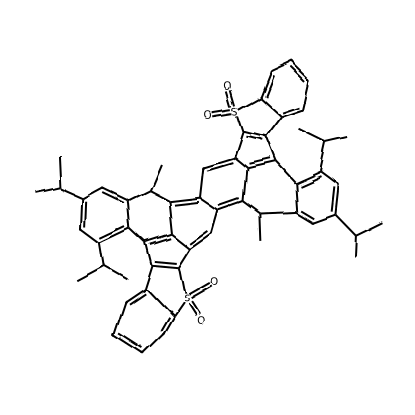 CC(C)c1cc(C(C)C)c2c(c1)C(C)c1c3c(cc4c5c6c(cc14)C1=C(C=6c4c(C(C)C)cc(C(C)C)cc4C5C)c4ccccc4S1(=O)=O)C1=C(C=32)c2ccccc2S1(=O)=O